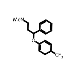 CNCCC(OC1=CCC(C(F)(F)F)C=C1)c1ccccc1